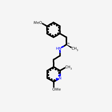 COc1ccc(C[C@@H](C)NCCc2ccc(OC)nc2C)cc1